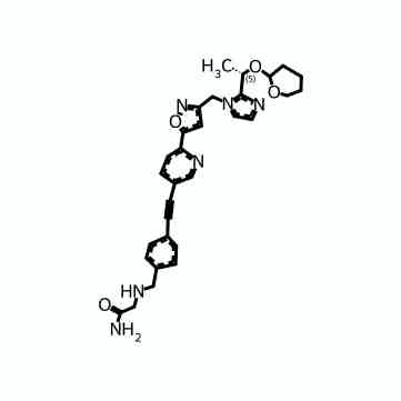 C[C@H](OC1CCCCO1)c1nccn1Cc1cc(-c2ccc(C#Cc3ccc(CNCC(N)=O)cc3)cn2)on1